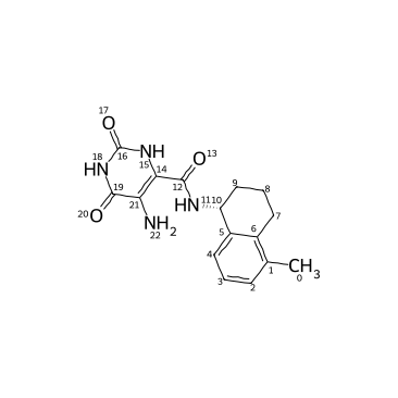 Cc1cccc2c1CCC[C@H]2NC(=O)c1[nH]c(=O)[nH]c(=O)c1N